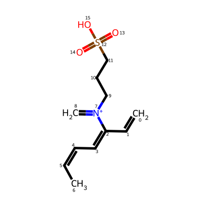 C=C/C(=C/C=C\C)[N+](=C)CCCS(=O)(=O)O